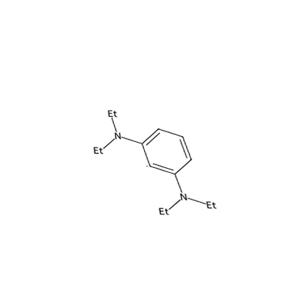 CCN(CC)c1[c]c(N(CC)CC)ccc1